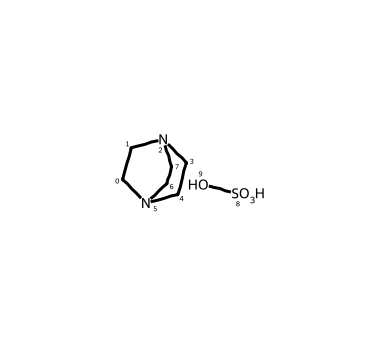 C1CN2CCN1CC2.O=S(=O)(O)O